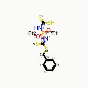 CCO[PH](NC(=S)S)(NC(=S)SCc1ccccc1)OCC